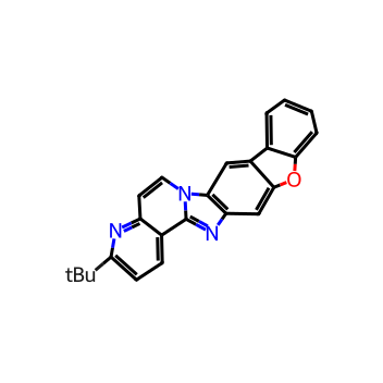 CC(C)(C)c1ccc2c(ccn3c4cc5c(cc4nc23)oc2ccccc25)n1